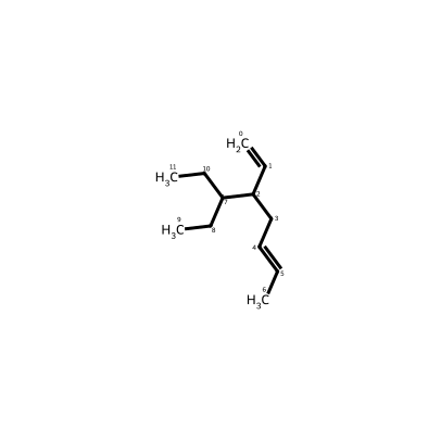 C=CC(CC=CC)[C](CC)CC